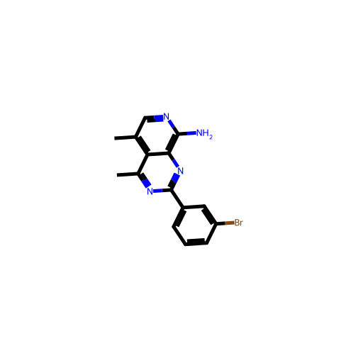 Cc1cnc(N)c2nc(-c3cccc(Br)c3)nc(C)c12